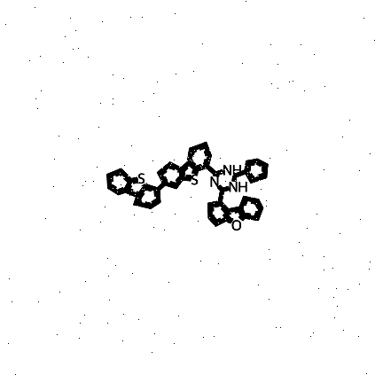 c1ccc(C2NC(c3cccc4c3sc3cc(-c5cccc6c5sc5ccccc56)ccc34)=NC(c3cccc4oc5ccccc5c34)N2)cc1